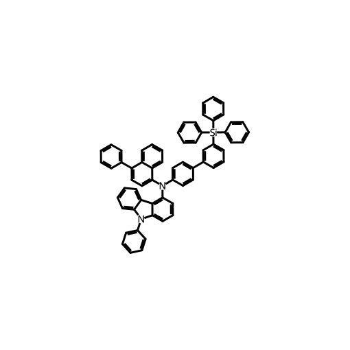 c1ccc(-c2ccc(N(c3ccc(-c4cccc([Si](c5ccccc5)(c5ccccc5)c5ccccc5)c4)cc3)c3cccc4c3c3ccccc3n4-c3ccccc3)c3ccccc23)cc1